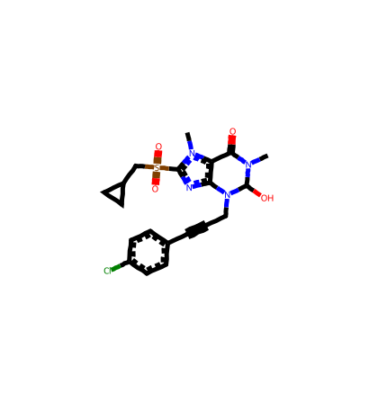 CN1C(=O)c2c(nc(S(=O)(=O)CC3CC3)n2C)N(CC#Cc2ccc(Cl)cc2)C1O